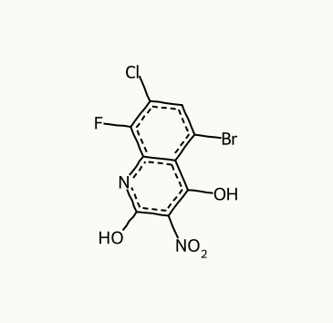 O=[N+]([O-])c1c(O)nc2c(F)c(Cl)cc(Br)c2c1O